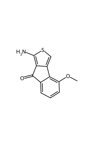 COc1cccc2c1-c1csc(N)c1C2=O